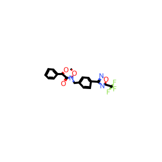 CON(Cc1ccc(-c2noc(C(F)(F)F)n2)cc1)C(=O)C(=O)c1ccccc1